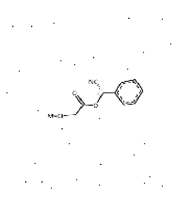 COCC(=O)O[C@H](C#N)c1ccccc1